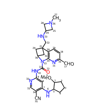 COC1CCCC1Nc1cc(NC(=O)N2c3nc(C=O)ccc3C3(CNC4CN(C)C4)CC2C3)ncc1C#N